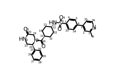 Cc1cc(-c2ccc(S(=O)(=O)N[C@H]3CC[C@H](C(=O)N4CC(=O)NC[C@@H]4c4ccccc4)CC3)cc2)ccn1